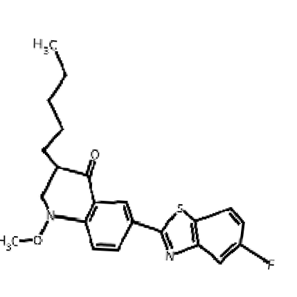 CCCCCC1CN(OC)c2ccc(-c3nc4cc(F)ccc4s3)cc2C1=O